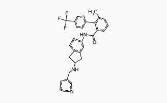 Cc1cccc(C(=O)Nc2ccc3c(c2)CC(NCc2cccnc2)C3)c1-c1ccc(C(F)(F)F)cc1